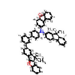 CC1(C)c2ccccc2-c2ccc(N(c3ccc(-c4cccc(-c5ccc6c(c5)C(C)(C)c5c-6oc6ccccc56)c4)cc3)c3ccc4oc5ccccc5c4c3)cc21